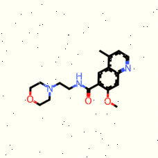 COc1cc2nccc(C)c2cc1C(=O)NCCN1CCOCC1